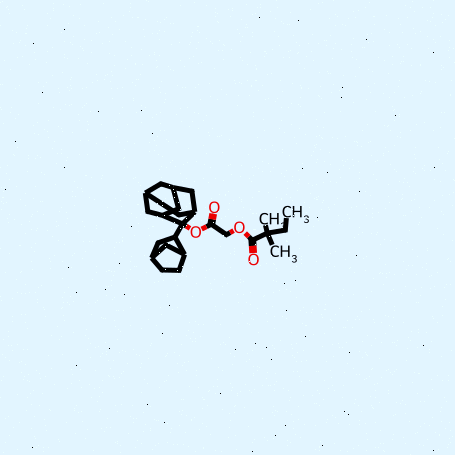 CCC(C)(C)C(=O)OCC(=O)OC1(C2CC3CCC2C3)C2CC3CC(C2)CC1C3